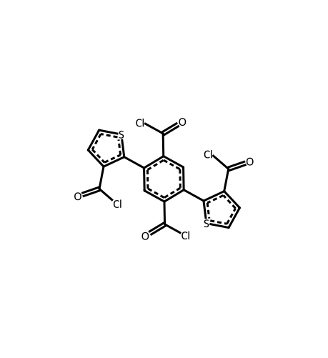 O=C(Cl)c1cc(-c2sccc2C(=O)Cl)c(C(=O)Cl)cc1-c1sccc1C(=O)Cl